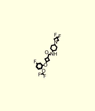 O=C(NC1CCC(N2CC(F)(F)C2)CC1)C1CC(Oc2cc(F)ccc2OC(F)F)C1